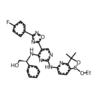 CCOB1OC(C)(C)c2nc(Nc3ncc(-c4nc(-c5ccc(F)cc5)no4)c(N[C@H](CO)c4ccccc4)n3)ccc21